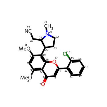 COc1cc(OC)c2c(=O)cc(-c3ccccc3Cl)oc2c1C1CCN(C)C1CC#N